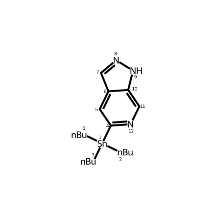 CCC[CH2][Sn]([CH2]CCC)([CH2]CCC)[c]1cc2cn[nH]c2cn1